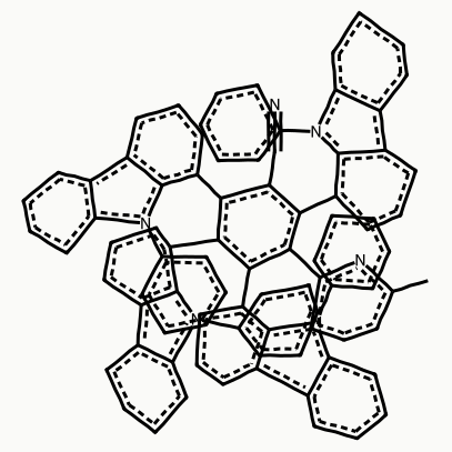 Cc1cccc(-c2c(-c3cccc4c5ccccc5n(-c5ccccc5)c34)c(C#N)c(-c3cccc4c5ccccc5n(-c5ccccc5)c34)c(-c3cccc4c5ccccc5n(-c5ccccc5)c34)c2-c2cccc3c4ccccc4n(-c4ccccc4)c23)n1